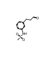 CS(=O)(=O)Nc1cccc(CCC=O)c1